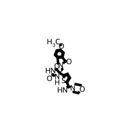 COc1ccc2c(c1)C(=O)N(C[C@@]1(c3ccc(C(=N)N4CCOCC4)s3)NC(=O)NC1=O)C2